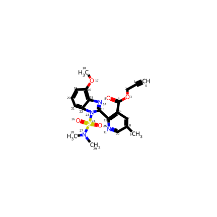 C#CCOC(=O)c1cc(C)cnc1-c1nc2c(OC)cccc2n1S(=O)(=O)N(C)C